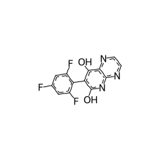 Oc1nc2nccnc2c(O)c1-c1c(F)cc(F)cc1F